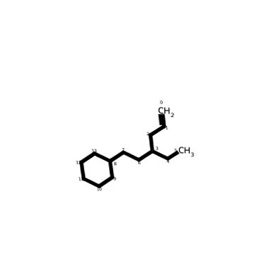 C=CCC(CC)C[CH]C1CCCCC1